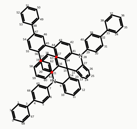 c1ccc(-c2ccc(N3c4ccccc4C4(c5ccccc53)c3ccccc3N(c3ccc(-c5ccccc5)cc3)c3ccc(-c5cc(-c6ccccc6)ccc5-c5ccccc5)cc34)cc2)cc1